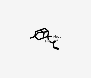 C=CC(=O)NC1(CCCCCCC)C2CC3CC1CC(C)(C3)C2